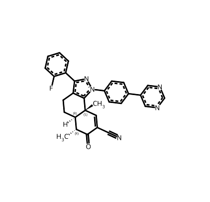 C[C@H]1C(=O)C(C#N)=C[C@@]2(C)c3c(c(-c4ccccc4F)nn3-c3ccc(-c4cncnc4)cc3)CC[C@H]12